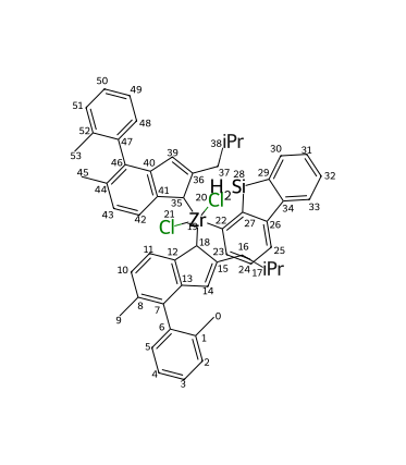 Cc1ccccc1-c1c(C)ccc2c1C=C(CC(C)C)[CH]2[Zr]([Cl])([Cl])([c]1cccc2c1[SiH2]c1ccccc1-2)[CH]1C(CC(C)C)=Cc2c1ccc(C)c2-c1ccccc1C